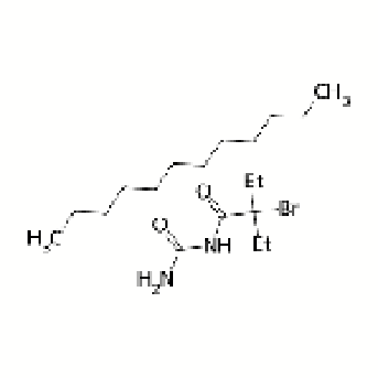 CCC(Br)(CC)C(=O)NC(N)=O.CCCCCCCCCCCC